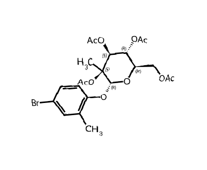 CC(=O)OC[C@H]1O[C@H](Oc2ccc(Br)cc2C)[C@@](C)(OC(C)=O)[C@@H](OC(C)=O)[C@@H]1OC(C)=O